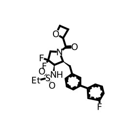 CCS(=O)(=O)N[C@@H]1[C@H](Cc2cccc(-c3cccc(F)c3)c2)N(C(=O)C2CCO2)CC1(F)F